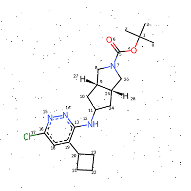 CC(C)(C)OC(=O)N1C[C@H]2CC(Nc3nnc(Cl)cc3C3CCC3)C[C@H]2C1